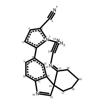 Cn1c(C#N)ccc1-c1ccc2c(c1)C1(C=N2)CCCCC1=NC#N